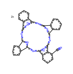 N#Cc1cccc2c3nc4nc(nc5[nH]c(nc6nc(nc([nH]3)c12)-c1ccccc1-6)c1ccccc51)-c1ccccc1-4.[Zn]